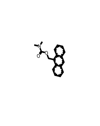 CN(C)C(=O)OCc1c2ccccc2cc2ccccc12